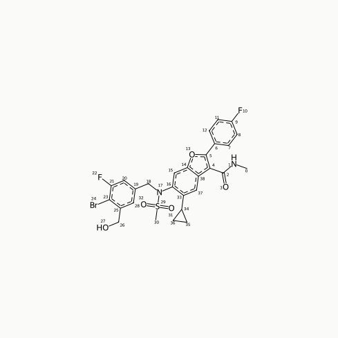 CNC(=O)c1c(-c2ccc(F)cc2)oc2cc(N(Cc3cc(F)c(Br)c(CO)c3)S(C)(=O)=O)c(C3CC3)cc12